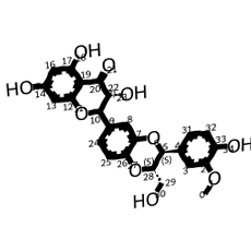 COc1cc([C@@H]2Oc3cc(C4Oc5cc(O)cc(O)c5C(=O)[C@@H]4O)ccc3O[C@H]2CO)ccc1O